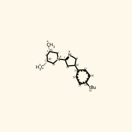 C[C@@H]1C[C@H](C)CN(C2=NCC(c3ccc(C(C)(C)C)cc3)C2)C1